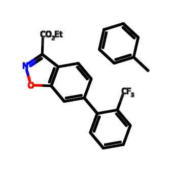 CCOC(=O)c1noc2cc(-c3ccccc3C(F)(F)F)ccc12.Cc1ccccc1